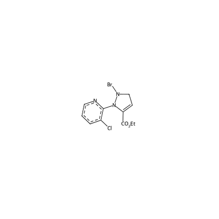 CCOC(=O)C1=CCN(Br)N1c1ncccc1Cl